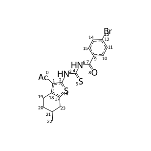 CC(=O)c1c(NC(=S)NC(=O)c2ccc(Br)cc2)sc2c1CCC(C)C2